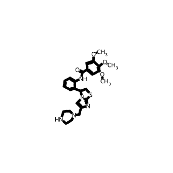 COc1cc(C(=O)Nc2ccccc2C2CSc3nc(CN4CCNCC4)cn32)cc(OC)c1OC